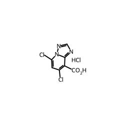 Cl.O=C(O)c1c(Cl)cc(Cl)n2ncnc12